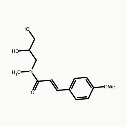 COc1ccc(C=CC(=O)N(C)CC(O)CO)cc1